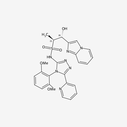 COc1cccc(OC)c1-n1c(NS(=O)(=O)[C@@H](C)[C@H](O)c2cn3ccccc3n2)nnc1-c1ccccn1